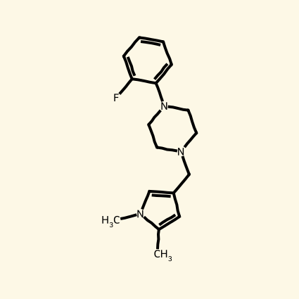 Cc1cc(CN2CCN(c3ccccc3F)CC2)cn1C